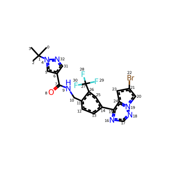 CC(C)(C)n1cc(C(=O)NCc2ccc(-c3ncnn4cc(Br)cc34)cc2C(F)(F)F)cn1